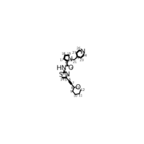 O=C(Nc1nc(C#CC2CCCCO2)cs1)c1cccn1Cc1ccncc1